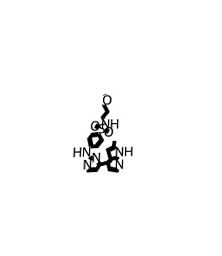 COCCCNS(=O)(=O)c1ccc(Nc2nccc(-c3ccnc4[nH]c(C)cc34)n2)cc1